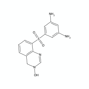 Nc1cc(N)cc(S(=O)(=O)c2cccc3c2N=CN(O)C3)c1